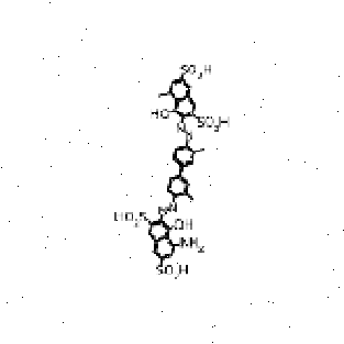 Cc1cc(-c2ccc(N=Nc3c(S(=O)(=O)O)cc4cc(S(=O)(=O)O)cc(N)c4c3O)c(C)c2)ccc1N=Nc1c(S(=O)(=O)O)cc2cc(S(=O)(=O)O)cc(C)c2c1O